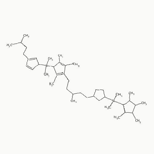 CC1=C(C)C([Si](C)(C)C2C=CC(CCC(C)C)=C2)C(C)=C1CCC(C)CCC1CCC([Si](C)(C)C2C(C)C(C)C(C)C2C)C1